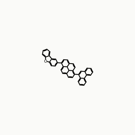 C1=CC2=C(c3cc4ccccc4c4ccccc34)C=CC3=CC=C4C(c5ccc6oc7ccccc7c6c5)=CC=C1C4C32